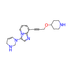 C(#Cc1cccn2c(N3C=CCNC3)cnc12)COC1CCNCC1